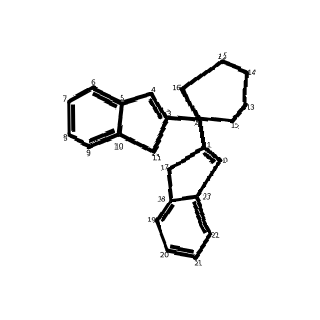 C1=C(C2(C3=Cc4ccccc4C3)CCCCC2)Cc2ccccc21